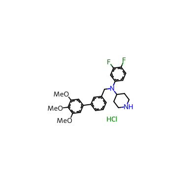 COc1cc(-c2cccc(CN(c3ccc(F)c(F)c3)C3CCNCC3)c2)cc(OC)c1OC.Cl